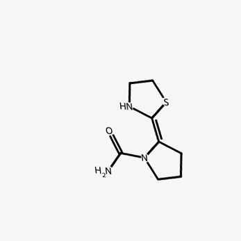 NC(=O)N1CCCC1=C1NCCS1